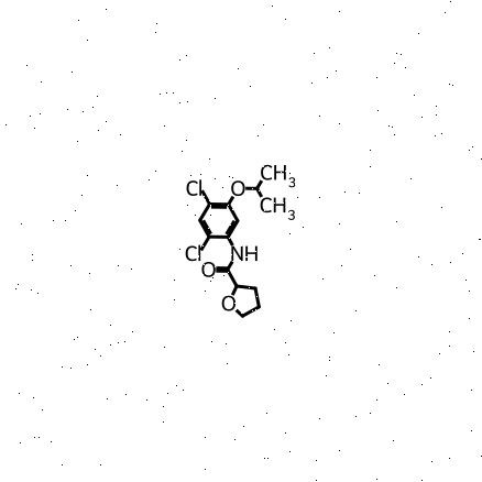 CC(C)Oc1cc(NC(=O)C2CCCO2)c(Cl)cc1Cl